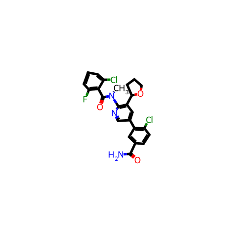 CN(C(=O)c1c(F)cccc1Cl)c1ncc(-c2cc(C(N)=O)ccc2Cl)cc1C1CCCO1